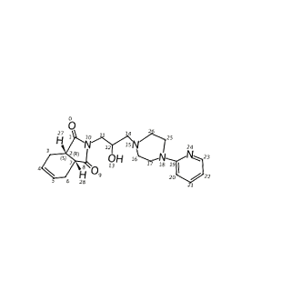 O=C1[C@H]2CC=CC[C@H]2C(=O)N1CC(O)CN1CCN(c2ccccn2)CC1